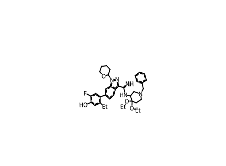 CCOC1(OCC)CCN(Cc2ccccc2)CC1NC(=N)c1nn(C2CCCCO2)c2cc(-c3cc(F)c(O)cc3CC)ccc12